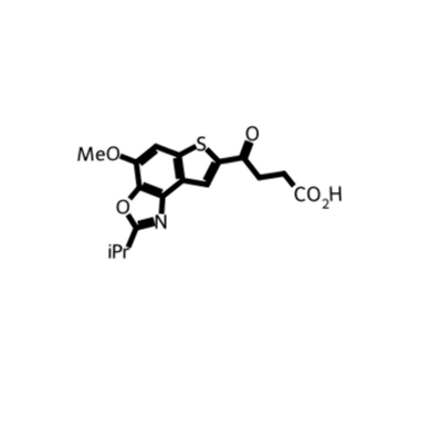 COc1cc2sc(C(=O)CCC(=O)O)cc2c2nc(C(C)C)oc12